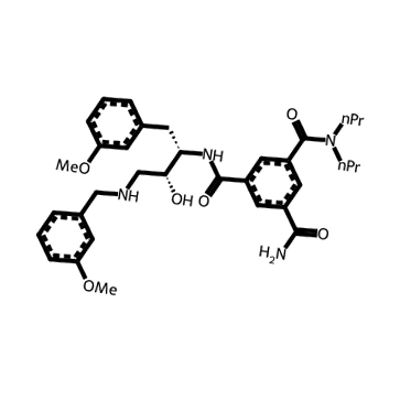 CCCN(CCC)C(=O)c1cc(C(N)=O)cc(C(=O)N[C@@H](Cc2cccc(OC)c2)[C@H](O)CNCc2cccc(OC)c2)c1